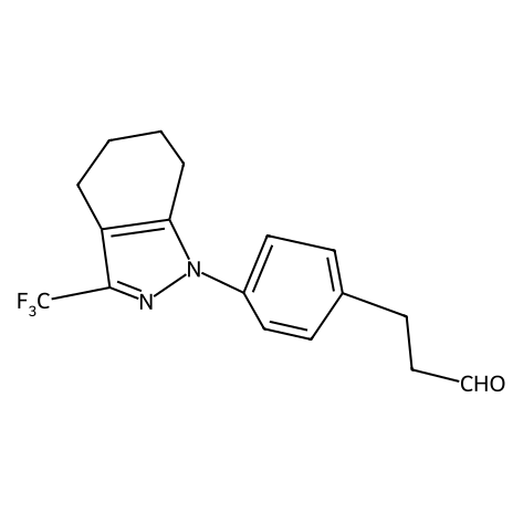 O=CCCc1ccc(-n2nc(C(F)(F)F)c3c2CCCC3)cc1